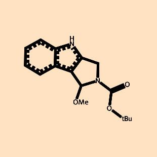 COC1c2c([nH]c3ccccc23)CN1C(=O)OC(C)(C)C